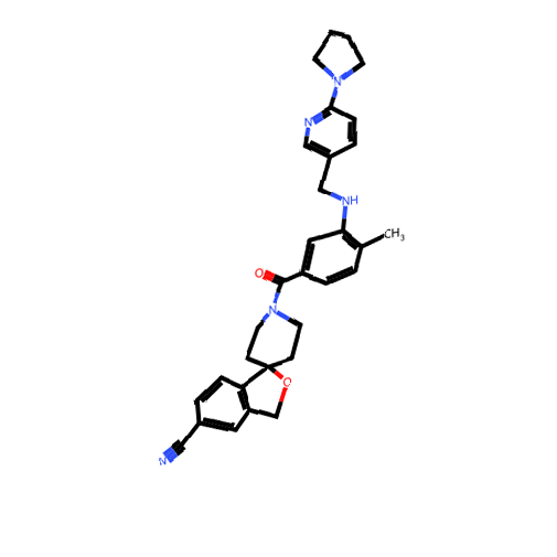 Cc1ccc(C(=O)N2CCC3(CC2)OCc2cc(C#N)ccc23)cc1NCc1ccc(N2CCCC2)nc1